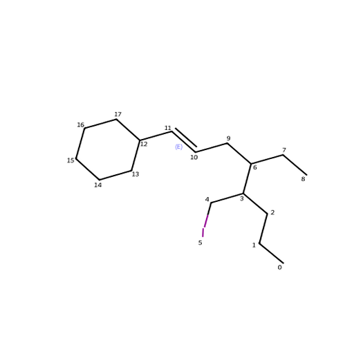 CCCC(CI)C(CC)C/C=C/C1CCCCC1